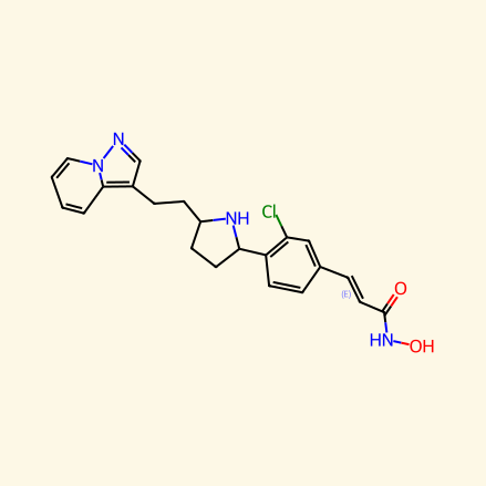 O=C(/C=C/c1ccc(C2CCC(CCc3cnn4ccccc34)N2)c(Cl)c1)NO